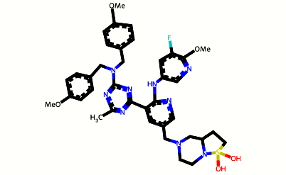 COc1ccc(CN(Cc2ccc(OC)cc2)c2nc(C)nc(-c3cc(CN4CCN5C(CCS5(O)O)C4)cnc3Nc3cnc(OC)c(F)c3)n2)cc1